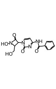 O=C(Nc1ccn(C2C(=O)N(O)C2CO)c(=O)n1)c1ccccc1